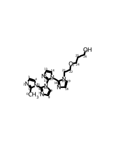 Cc1nccn1-c1nccn1-c1nccn1-c1nccn1CCOCCCO